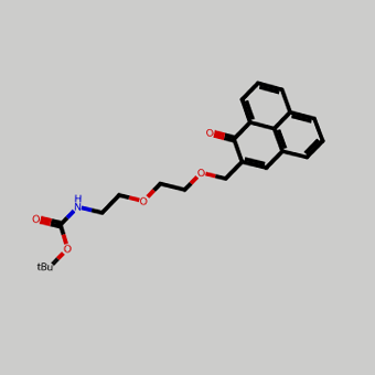 CC(C)(C)OC(=O)NCCOCCOCC1=Cc2cccc3cccc(c23)C1=O